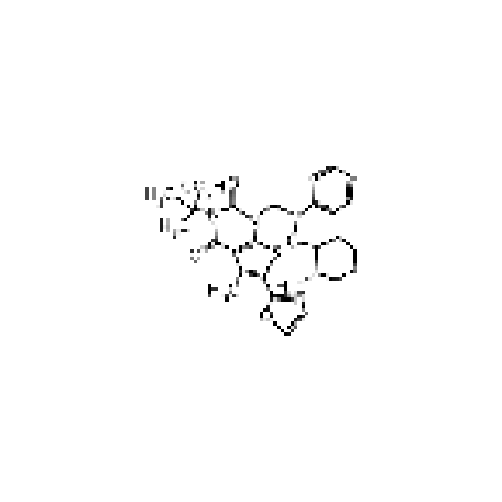 Cc1c(-c2ncco2)sc2c1c(=O)n(C(C)(C)C(=O)O)c(=O)n2C[C@H](O[C@H]1CCCC[C@@H]1C)c1ccccc1